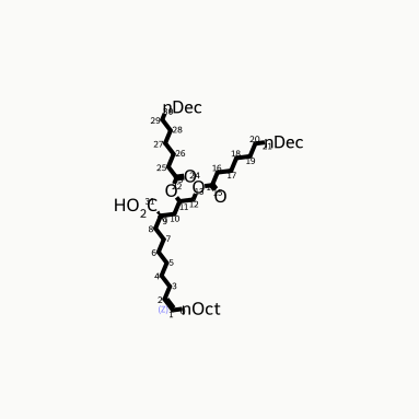 CCCCCCCC/C=C\CCCCCC[C@H](CC(COC(=O)CCCCCCCCCCCCCCC)OC(=O)CCCCCCCCCCCCCCC)C(=O)O